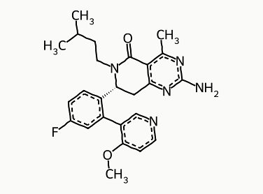 COc1ccncc1-c1cc(F)ccc1[C@H]1Cc2nc(N)nc(C)c2C(=O)N1CCC(C)C